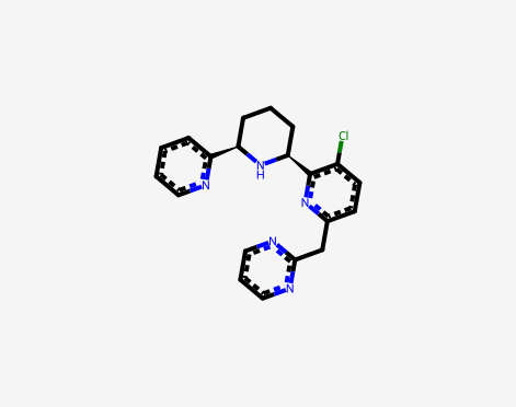 Clc1ccc(Cc2ncccn2)nc1[C@@H]1CCC[C@H](c2ccccn2)N1